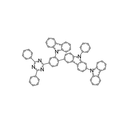 c1ccc(-c2nc(-c3ccccc3)nc(-c3ccc(-c4ccc5c(c4)c4ccc(-n6c7ccccc7c7ccccc76)cc4n5-c4ccccc4)c(-n4c5ccccc5c5ccccc54)c3)n2)cc1